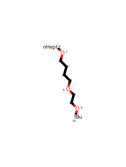 CCCCCCCOCCCCOCCOC(C)(C)C